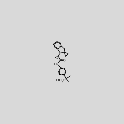 CCOC(=O)C(C)(C)c1ccc(NC(=O)[C@@H](C)C2c3ccccc3CC23CC3)cc1